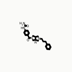 NC(=O)Nc1ccc(C(=O)N2CC3CN(CC[CH]c4ccccc4)C[C@H]3C2)cc1